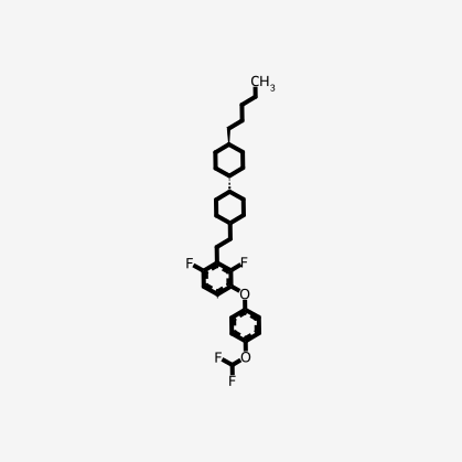 CCCCC[C@H]1CC[C@H](C2CCC(CCc3c(F)c[c]c(Oc4ccc(OC(F)F)cc4)c3F)CC2)CC1